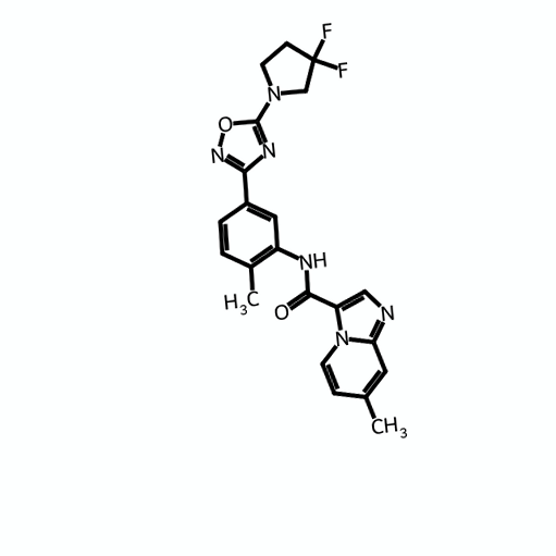 Cc1ccn2c(C(=O)Nc3cc(-c4noc(N5CCC(F)(F)C5)n4)ccc3C)cnc2c1